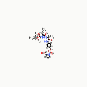 CC(C)[C@H](NC(=O)OC(C)(C)C)C(=O)N[C@@H](C)C(=O)Nc1ccc(COC(=O)N2CCC[C@H]2CO)cc1